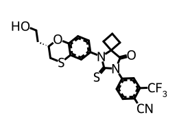 N#Cc1ccc(N2C(=O)C3(CCC3)N(c3ccc4c(c3)SC[C@H](CCO)O4)C2=S)cc1C(F)(F)F